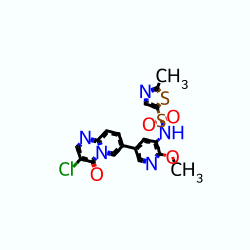 COc1ncc(-c2ccc3ncc(Cl)c(=O)n3c2)cc1NS(=O)(=O)c1cnc(C)s1